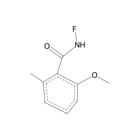 COc1cccc(C)c1C(=O)NF